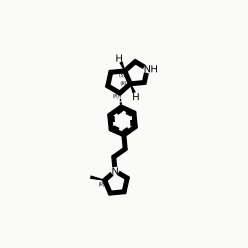 C[C@@H]1CCCN1CCc1ccc([C@@H]2CC[C@@H]3CNC[C@@H]32)cc1